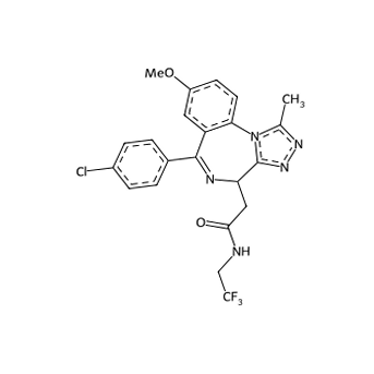 COc1ccc2c(c1)C(c1ccc(Cl)cc1)=NC(CC(=O)NCC(F)(F)F)c1nnc(C)n1-2